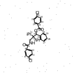 CC(C)C(CNC(=O)c1ccc(Cl)cc1)(C(C)C)C(OC(=O)c1ccc(Cl)cc1)c1ccccc1